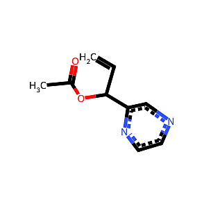 C=CC(OC(C)=O)c1cnccn1